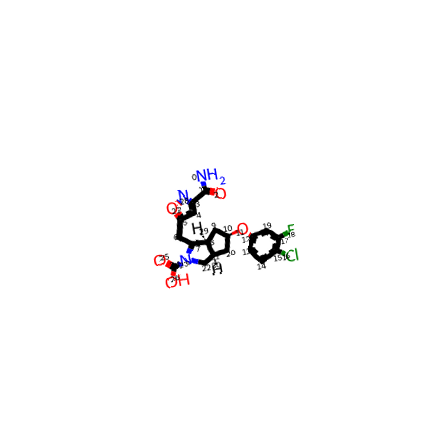 NC(=O)c1cc(CC2[C@H]3C[C@@H](Oc4ccc(Cl)c(F)c4)C[C@H]3CN2C(=O)O)on1